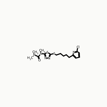 CN(C)C(=O)N(C)c1nnc(SCCCCCc2cccc(Cl)n2)s1